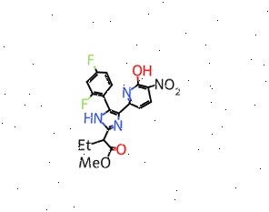 CCC(C(=O)OC)c1nc(-c2ccc([N+](=O)[O-])c(O)n2)c(-c2ccc(F)cc2F)[nH]1